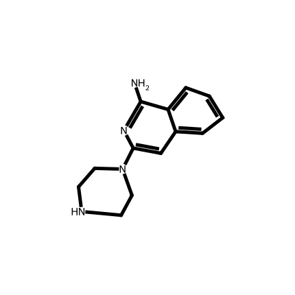 Nc1nc(N2CCNCC2)cc2ccccc12